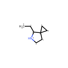 CCC1NCCC12CC2